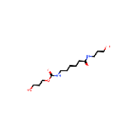 O=C(CCCCCNC(=O)OCCCO)NCCCO